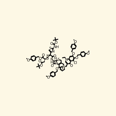 CCn1cc(C[N+]2(CC3=C(C(=O)OCc4ccc(OC)cc4)N4C(=O)[C@@H](NC(=O)/C(=N\O[C@@H](CC(=O)OC(C)(C)C)C(=O)OCc5ccc(OC)cc5)c5csc(NC(=O)OC(C)(C)C)n5)[C@H]4SC3)CCCC2)c(=O)c2c(Cl)c(OCc3ccc(OC)cc3)c(OCc3ccc(OC)cc3)cc21